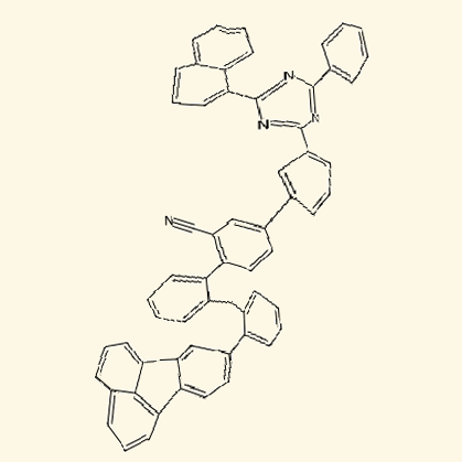 N#Cc1cc(-c2cccc(-c3nc(-c4ccccc4)nc(-c4cccc5ccccc45)n3)c2)ccc1-c1ccccc1-c1ccccc1-c1ccc2c(c1)-c1cccc3cccc-2c13